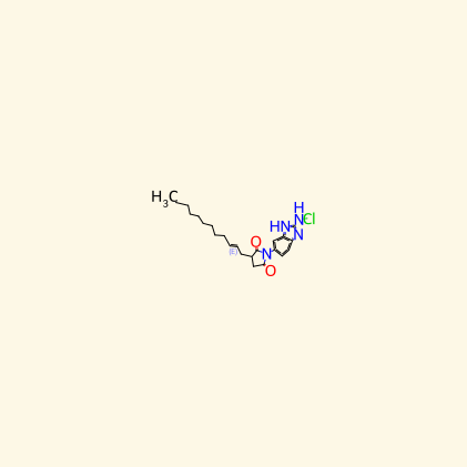 CCCCCCCCC/C=C/CC1CC(=O)N(c2ccc3nc(NCl)[nH]c3c2)C1=O